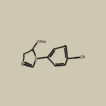 COC1CN=CN1c1ccc(C#N)cc1